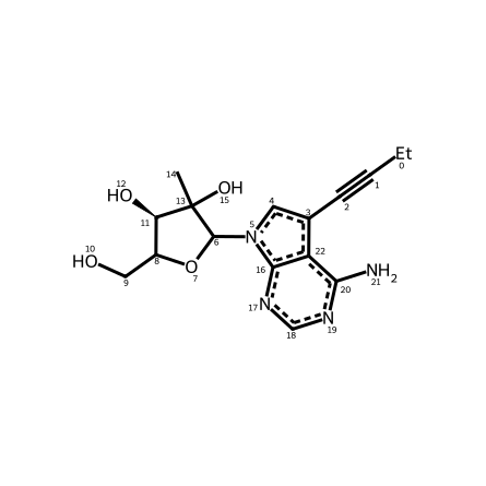 CCC#Cc1cn(C2OC(CO)[C@@H](O)C2(C)O)c2ncnc(N)c12